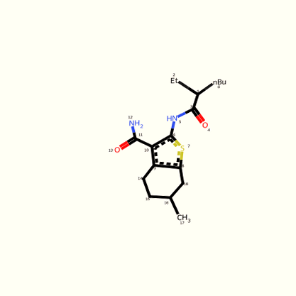 CCCCC(CC)C(=O)Nc1sc2c(c1C(N)=O)CCC(C)C2